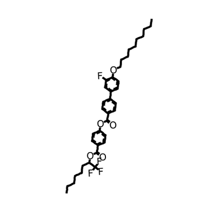 CCCCCCCCCCOc1ccc(-c2ccc(C(=O)Oc3ccc(C(=O)OC(CCCCCC)C(F)(F)F)cc3)cc2)cc1F